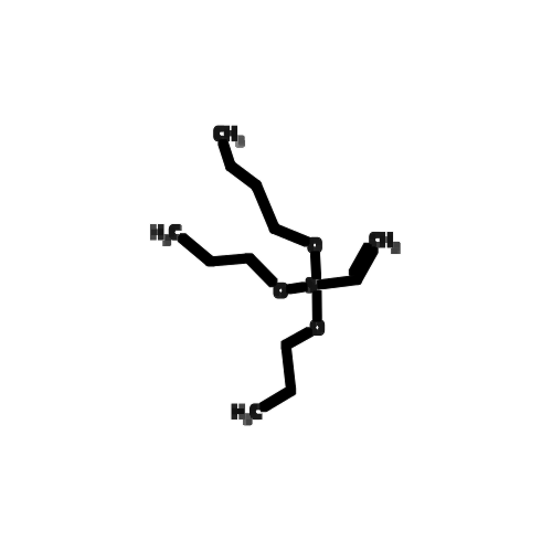 C=C[Si](OCCC)(OCCC)OCCCC